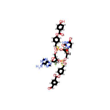 Nc1ncnc2c1ncn2[C@@H]1OC2COP(=O)(SCc3ccc(OC(=O)c4ccc(O)cc4)cc3)O[C@@H]3[C@H](F)[C@@H](COP(=O)(SCc4ccc(OC(=O)c5ccc(C=O)cc5)cc4)O[C@H]2[C@H]1F)O[C@H]3n1ccc(=O)[nH]c1=O